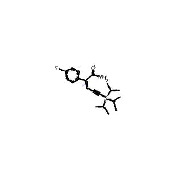 CC(C)[Si](C#C/C=C(\C(N)=O)c1ccc(F)cc1)(C(C)C)C(C)C